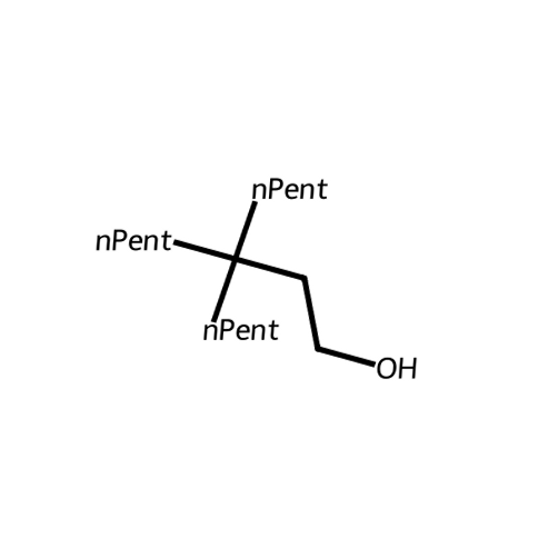 CCCCCC(CCO)(CCCCC)CCCCC